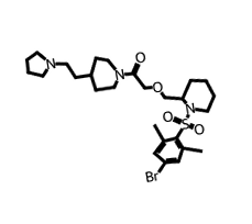 Cc1cc(Br)cc(C)c1S(=O)(=O)N1CCCCC1COCC(=O)N1CCC(CCN2CCCC2)CC1